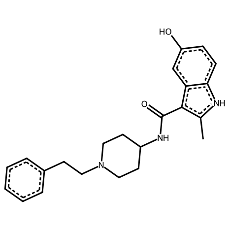 Cc1[nH]c2ccc(O)cc2c1C(=O)NC1CCN(CCc2ccccc2)CC1